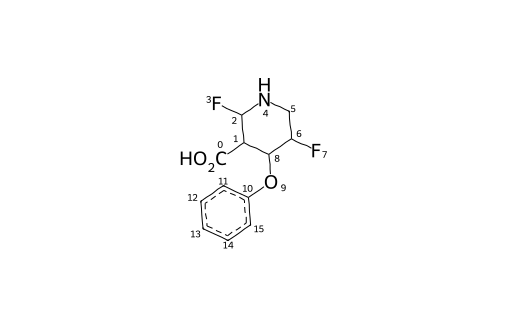 O=C(O)C1C(F)NCC(F)C1Oc1ccccc1